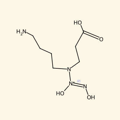 NCCCCN(CCC(=O)O)/[N+](O)=N/O